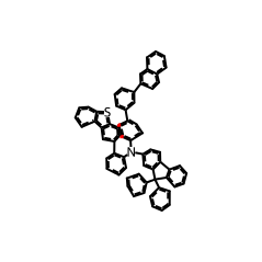 c1ccc(C2(c3ccccc3)c3ccccc3-c3ccc(N(c4ccc(-c5cccc(-c6ccc7ccccc7c6)c5)cc4)c4ccccc4-c4ccc5sc6ccccc6c5c4)cc32)cc1